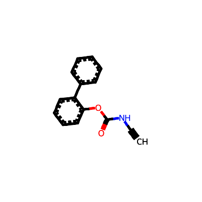 C#CNC(=O)Oc1ccccc1-c1ccccc1